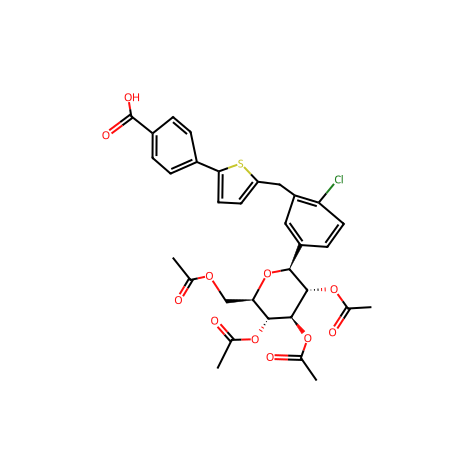 CC(=O)OC[C@H]1O[C@@H](c2ccc(Cl)c(Cc3ccc(-c4ccc(C(=O)O)cc4)s3)c2)[C@H](OC(C)=O)[C@@H](OC(C)=O)[C@@H]1OC(C)=O